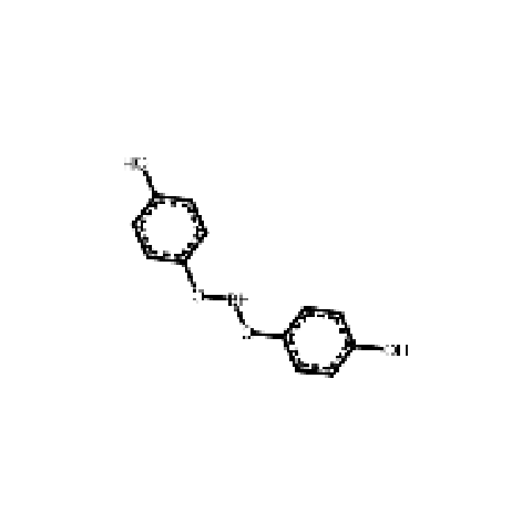 Oc1ccc(OBOc2ccc(O)cc2)cc1